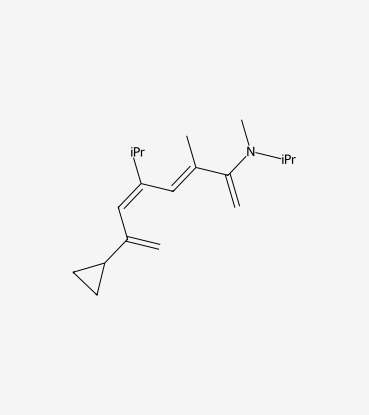 C=C(/C=C(\C=C(/C)C(=C)N(C)C(C)C)C(C)C)C1CC1